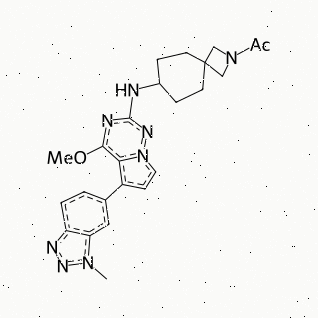 COc1nc(NC2CCC3(CC2)CN(C(C)=O)C3)nn2ccc(-c3ccc4nnn(C)c4c3)c12